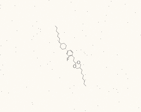 CCCCCCCC1COC(CCc2ccc([C@H]3CC[C@H](CCCCCCC)CC3)cc2F)OC1